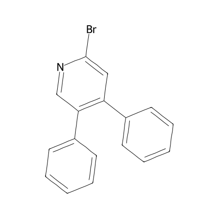 Brc1cc(-c2ccccc2)c(-c2ccccc2)cn1